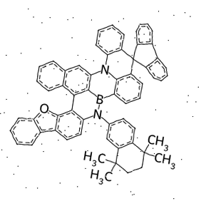 CC1(C)CCC(C)(C)c2cc(N3B4c5cccc6c5N(c5ccccc5C65c6ccccc6-c6ccccc65)c5cc6ccccc6c(c54)-c4c3ccc3c4oc4ccccc43)ccc21